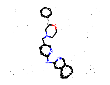 c1ccc([C@H]2CN(Cc3ccc(Nc4cc5ccccc5cn4)nc3)CCO2)cc1